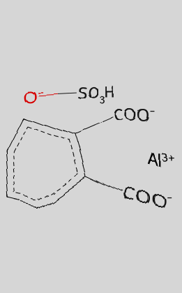 O=C([O-])c1ccccc1C(=O)[O-].O=S(=O)([O-])O.[Al+3]